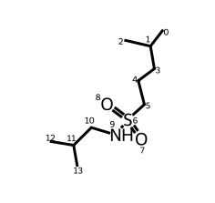 CC(C)CCCS(=O)(=O)NCC(C)C